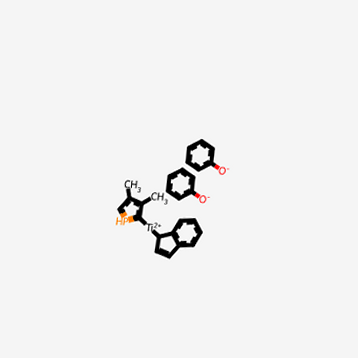 Cc1c[pH][c]([Ti+2][CH]2C=Cc3ccccc32)c1C.[O-]c1ccccc1.[O-]c1ccccc1